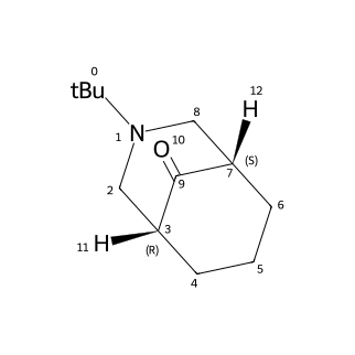 CC(C)(C)N1C[C@H]2CCC[C@@H](C1)C2=O